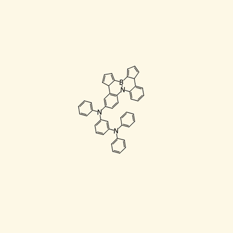 C1=CC2C(=C1)B1C3=CC=CC3c3cc(N(c4ccccc4)c4cccc(N(c5ccccc5)c5ccccc5)c4)ccc3N1c1ccccc12